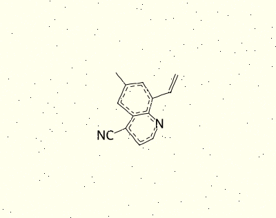 C=Cc1cc(C)cc2c(C#N)ccnc12